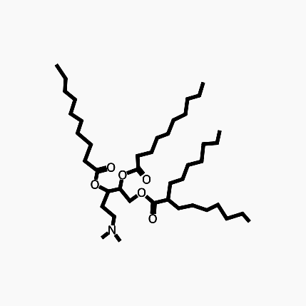 CCCCCCCCCC(=O)OC(CCN(C)C)C(COC(=O)C(CCCCCCC)CCCCCCC)OC(=O)CCCCCCCCC